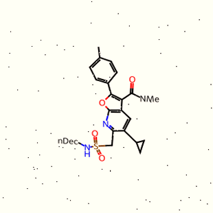 CCCCCCCCCCNS(=O)(=O)Cc1nc2oc(-c3ccc(C)cc3)c(C(=O)NC)c2cc1C1CC1